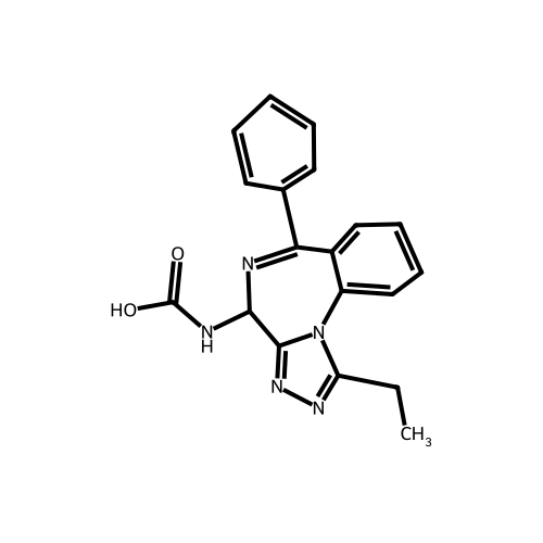 CCc1nnc2n1-c1ccccc1C(c1ccccc1)=NC2NC(=O)O